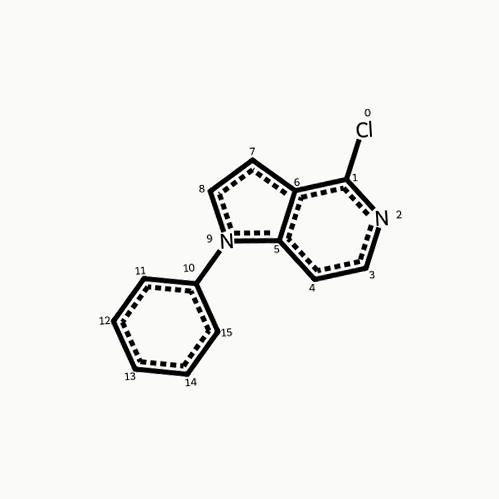 Clc1nccc2c1ccn2-c1ccccc1